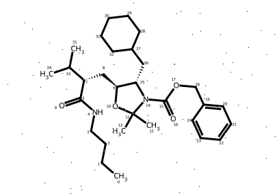 CCCCNC(=O)[C@@H](C[C@@H]1OC(C)(C)N(C(=O)OCc2ccccc2)[C@H]1CC1CCCCC1)C(C)C